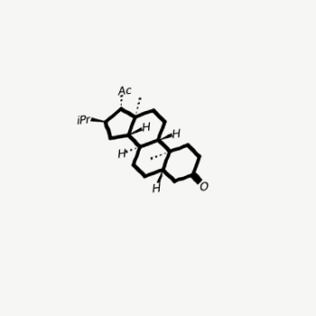 CC(=O)[C@H]1[C@H](C(C)C)C[C@H]2[C@@H]3CC[C@H]4CC(=O)CC[C@]4(C)[C@H]3CC[C@@]21C